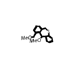 COCc1cccc2c1C(OC)c1ccccc1SC2